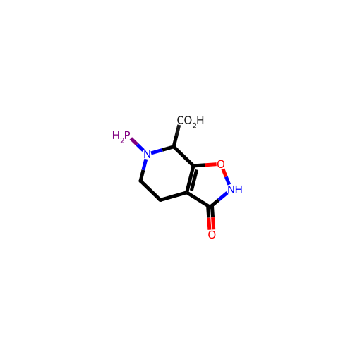 O=C(O)C1c2o[nH]c(=O)c2CCN1P